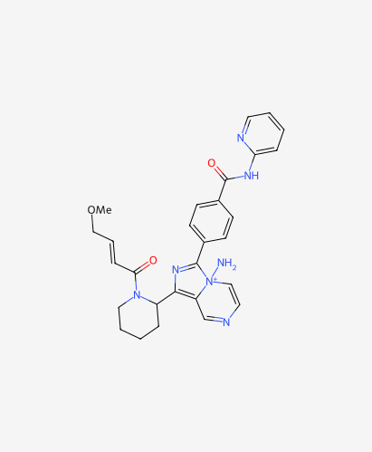 COCC=CC(=O)N1CCCCC1C1=C2C=NC=C[N+]2(N)C(c2ccc(C(=O)Nc3ccccn3)cc2)=N1